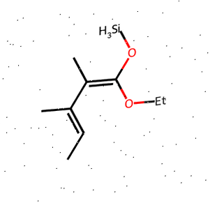 CC=C(C)C(C)=C(O[SiH3])OCC